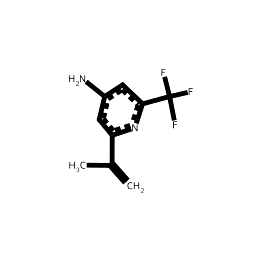 C=C(C)c1cc(N)cc(C(F)(F)F)n1